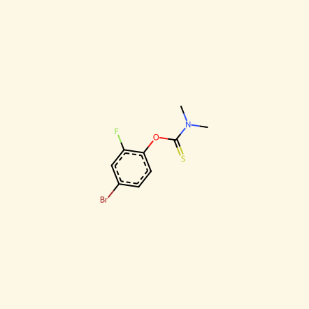 CN(C)C(=S)Oc1ccc(Br)cc1F